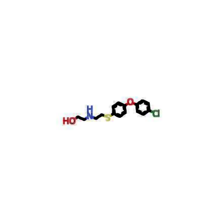 OCCNCCSc1ccc(Oc2ccc(Cl)cc2)cc1